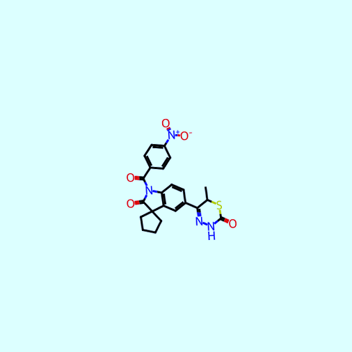 CC1SC(=O)NN=C1c1ccc2c(c1)C1(CCCC1)C(=O)N2C(=O)c1ccc([N+](=O)[O-])cc1